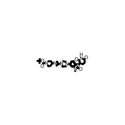 Cn1c(=O)n(C2CCC(=O)NC2=O)c2ccc(N3CCN(C4CN(C5CCN(C(=O)OC(C)(C)C)CC5)C4)CC3)cc21